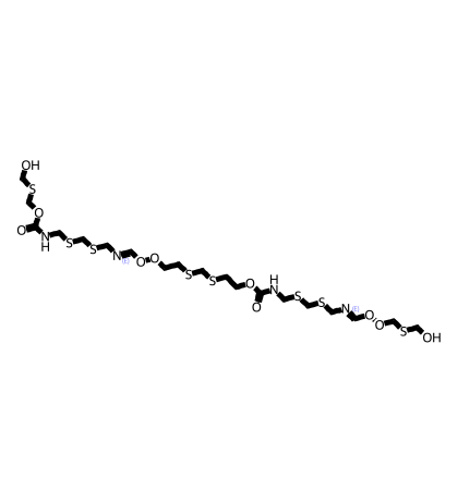 O=C(NCSCSC/N=C/OOCSCO)OCCSCSCCOO/C=N/CSCSCNC(=O)OCSCO